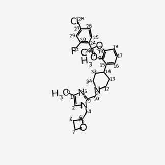 Cc1cn(C[C@@H]2CCO2)c(CN2CCC(c3cccc4c3O[C@@](C)(c3ccc(Cl)cc3F)O4)CC2)n1